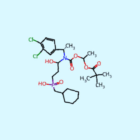 CC(OC(=O)N(C(O)CCP(=O)(O)CC1CCCCC1)[C@@H](C)c1ccc(Cl)c(Cl)c1)OC(=O)C(C)(C)C